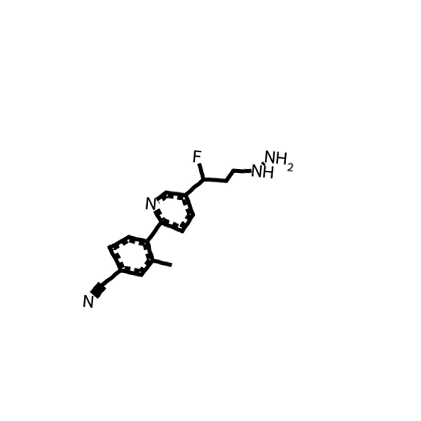 Cc1cc(C#N)ccc1-c1ccc(C(F)CCNN)cn1